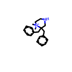 C[N+]1(C)CCNCC1(Cc1ccccc1)Cc1ccccc1